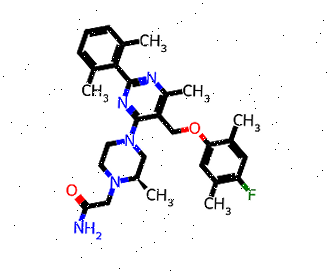 Cc1cc(OCc2c(C)nc(-c3c(C)cccc3C)nc2N2CCN(CC(N)=O)[C@H](C)C2)c(C)cc1F